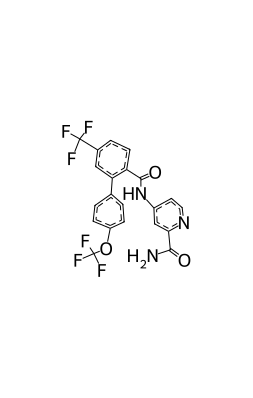 NC(=O)c1cc(NC(=O)c2ccc(C(F)(F)F)cc2-c2ccc(OC(F)(F)F)cc2)ccn1